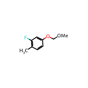 COCOc1ccc(C)c(F)c1